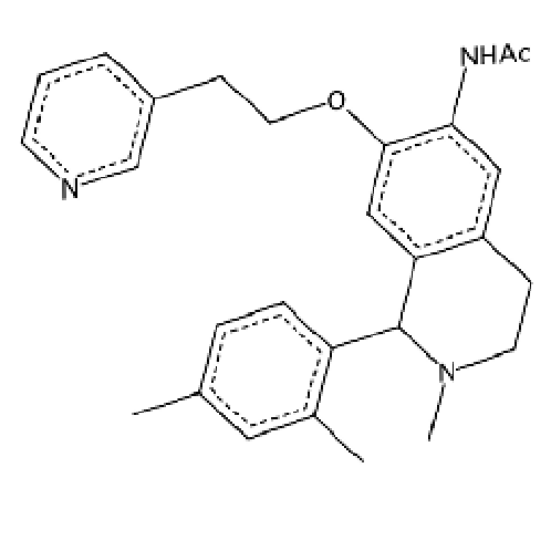 CC(=O)Nc1cc2c(cc1OCCc1cccnc1)C(c1ccc(C)cc1C)N(C)CC2